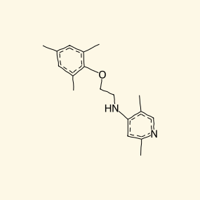 Cc1cc(C)c(OCCNc2cc(C)ncc2C)c(C)c1